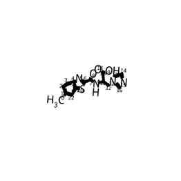 Cc1ccc2nc(C(=O)NC(Cn3ccnc3)C(=O)O)sc2c1